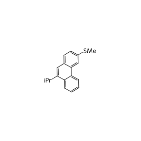 CSc1ccc2cc(C(C)C)c3ccccc3c2c1